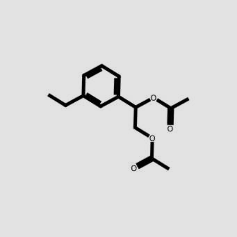 CCc1cccc(C(COC(C)=O)OC(C)=O)c1